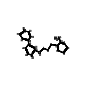 Nc1ccccc1CCCOc1cc(-c2ccncc2)ccn1